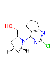 OC[C@@H]1C[C@H]2C[C@H]2N1c1nc(Cl)nc2c1CCC2